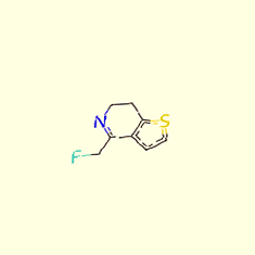 FCC1=NCCc2sccc21